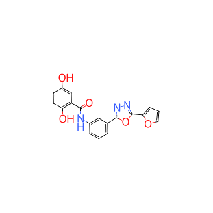 O=C(Nc1cccc(-c2nnc(-c3ccco3)o2)c1)c1cc(O)ccc1O